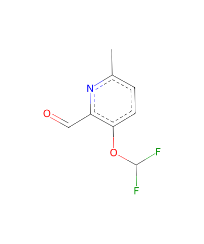 Cc1ccc(OC(F)F)c(C=O)n1